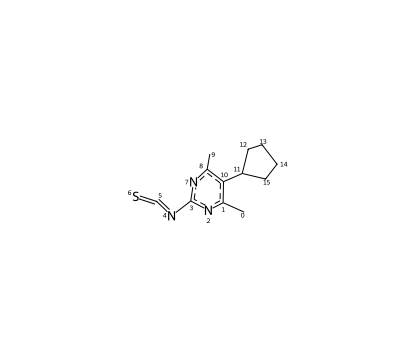 Cc1nc(N=C=S)nc(C)c1C1CCCC1